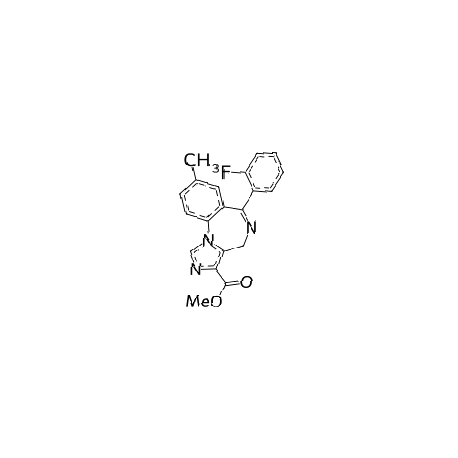 COC(=O)c1ncn2c1CN=C(c1ccccc1F)c1cc(C)ccc1-2